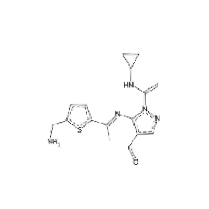 C=C(NC1CC1)n1ncc(C=O)c1/N=C(\C)c1ccc(CN)s1